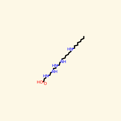 CCCCCCCCNCCCCCCNCCNCCNCCNCCC(=O)O